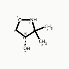 CC1(C)NOC[C@H]1O